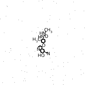 CCNC(=O)Nc1ccc(Oc2ccnc3cc(O)c(C#N)cc23)cc1C